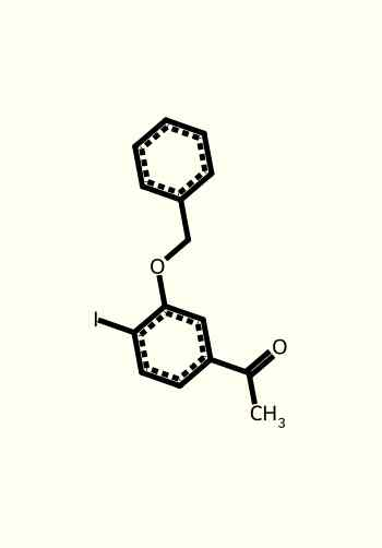 CC(=O)c1ccc(I)c(OCc2ccccc2)c1